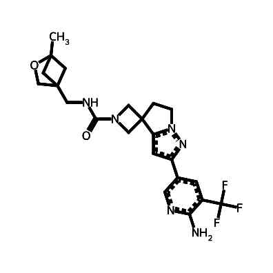 CC12CC(CNC(=O)N3CC4(CCn5nc(-c6cnc(N)c(C(F)(F)F)c6)cc54)C3)(CO1)C2